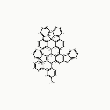 CC(C)(C)c1ccc(N2c3cc4oc5ccccc5c4c4c3B(c3c2oc2ccccc32)N2c3ccccc3C(c3ccccc3)(c3ccccc3)c3cccc-4c32)c(-c2ccccc2)c1